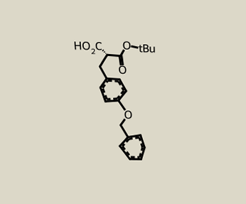 CC(C)(C)OC(=O)[C@H](Cc1ccc(OCc2ccccc2)cc1)C(=O)O